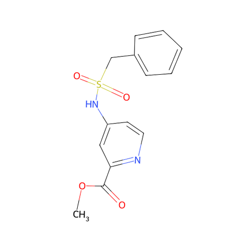 COC(=O)c1cc(NS(=O)(=O)Cc2ccccc2)ccn1